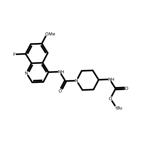 COc1cc(F)c2nccc(NC(=O)N3CCC(NC(=O)OC(C)(C)C)CC3)c2c1